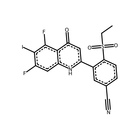 CCS(=O)(=O)c1ccc(C#N)cc1-c1cc(=O)c2c(F)c(I)c(F)cc2[nH]1